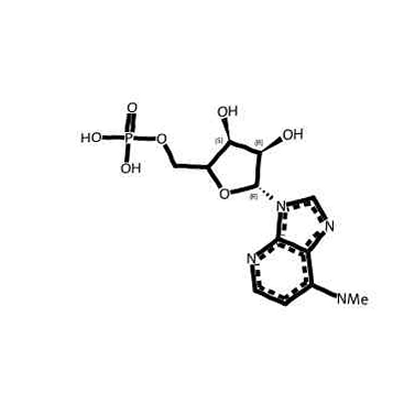 CNc1ccnc2c1ncn2[C@@H]1OC(COP(=O)(O)O)[C@@H](O)[C@H]1O